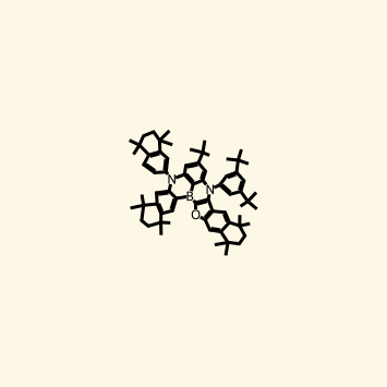 CC(C)(C)c1cc(N2c3cc(C(C)(C)C)cc4c3B(c3cc5c(cc3N4c3ccc4c(c3)C(C)(C)CCC4(C)C)C(C)(C)CCC5(C)C)c3oc4cc5c(cc4c32)C(C)(C)CCC5(C)C)cc(C(C)(C)C)c1